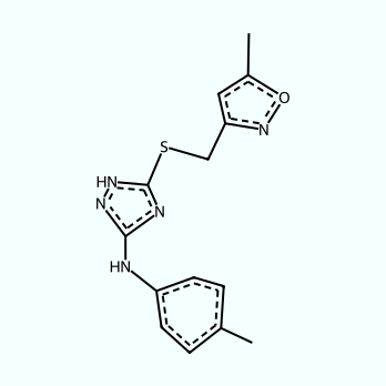 Cc1ccc(Nc2n[nH]c(SCc3cc(C)on3)n2)cc1